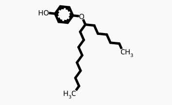 CCCCCCCCCC(CCCCCC)Oc1ccc(O)cc1